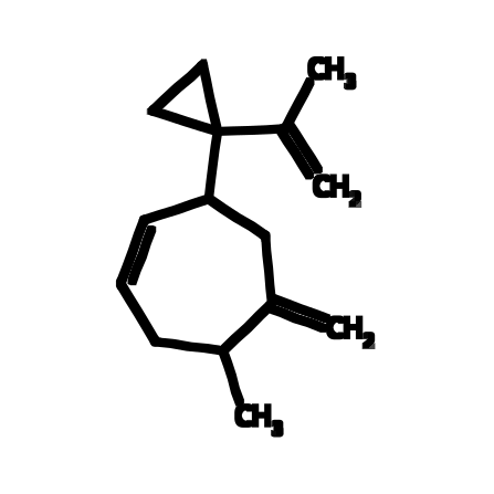 C=C1CC(C2(C(=C)C)CC2)C=CCC1C